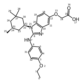 CCOc1ccc(Nc2nc3cc(OCC(=O)O)ccc3n2[C@H]2C[C@@H](C)CC(C)(C)C2)cc1